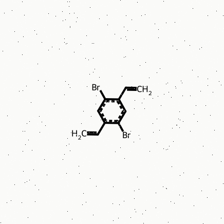 C=Cc1cc(Br)c(C=C)cc1Br